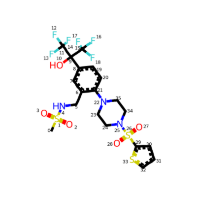 CS(=O)(=O)NCc1cc(C(O)(C(F)(F)F)C(F)(F)F)ccc1N1CCN(S(=O)(=O)c2cccs2)CC1